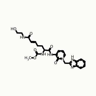 COC(=O)NC(CC/C=C/C(=O)NCCO)C(=O)Nc1cccn(Cc2nc3ccccc3[nH]2)c1=O